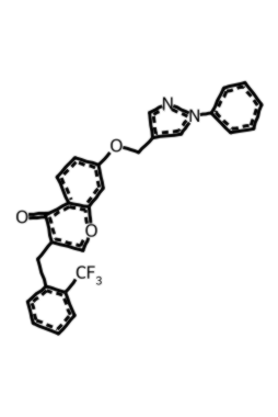 O=c1c(Cc2ccccc2C(F)(F)F)coc2cc(OCc3cnn(-c4ccccc4)c3)ccc12